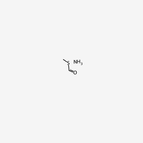 CSC=O.N